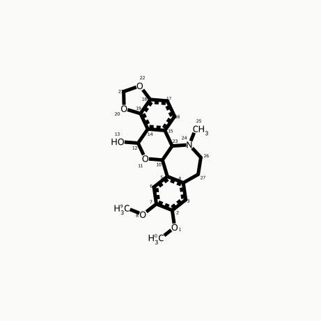 COc1cc2c(cc1OC)C1OC(O)c3c(ccc4c3OCO4)C1N(C)CC2